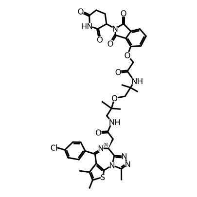 Cc1sc2c(c1C)C(c1ccc(Cl)cc1)=N[C@@H](CC(=O)NCC(C)(C)OCC(C)(C)NC(=O)COc1cccc3c1C(=O)N(C1CCC(=O)NC1=O)C3=O)c1nnc(C)n1-2